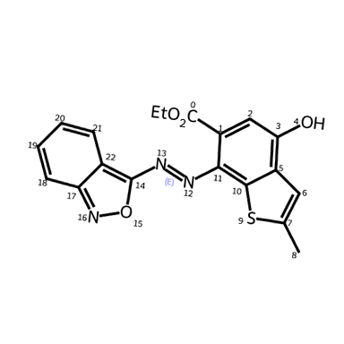 CCOC(=O)c1cc(O)c2cc(C)sc2c1/N=N/c1onc2ccccc12